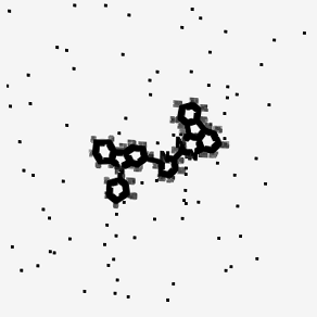 c1ccc(-n2c3ccccc3c3ccc(-c4cccc(-c5nc6c7c(cccc7n5)-c5ccccc5-6)n4)cc32)cc1